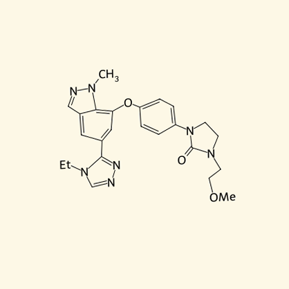 CCn1cnnc1-c1cc(Oc2ccc(N3CCN(CCOC)C3=O)cc2)c2c(cnn2C)c1